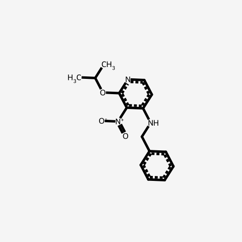 CC(C)Oc1nccc(NCc2ccccc2)c1[N+](=O)[O-]